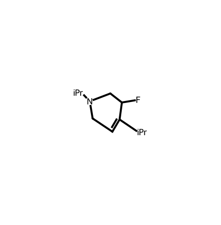 CC(C)C1=CCN(C(C)C)CC1F